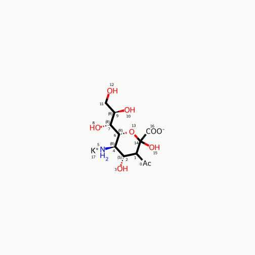 CC(=O)C1[C@H](O)[C@@H](N)[C@H]([C@H](O)[C@H](O)CO)OC1(O)C(=O)[O-].[K+]